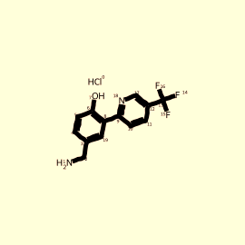 Cl.NCc1ccc(O)c(-c2ccc(C(F)(F)F)cn2)c1